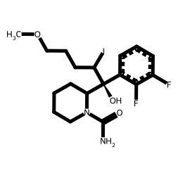 COCCCC(I)[C@](O)(c1cccc(F)c1F)C1CCCCN1C(N)=O